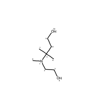 CN(CCO)C(C)(C)CCO